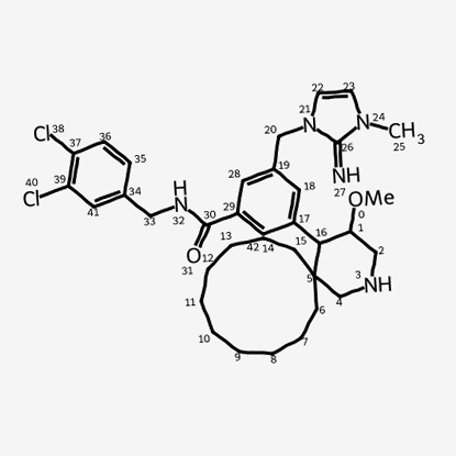 COC1CNCC2(CCCCCCCCCC2)C1c1cc(Cn2ccn(C)c2=N)cc(C(=O)NCc2ccc(Cl)c(Cl)c2)c1